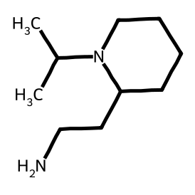 CC(C)N1CCCCC1CCN